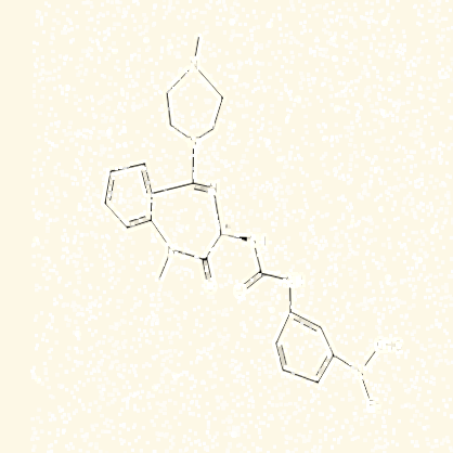 CCN(C=O)c1cccc(NC(=O)N[C@@H]2N=C(N3CCN(C)CC3)c3ccccc3N(C)C2=O)c1